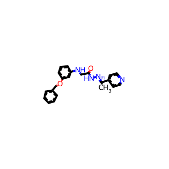 C/C(=N\NC(=O)CNc1cccc(OCc2ccccc2)c1)c1ccncc1